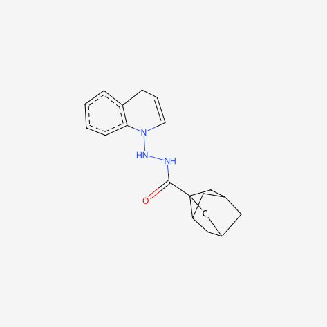 O=C(NNN1C=CCc2ccccc21)C12CC3CC(CC1C3)C2